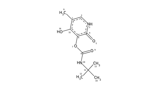 Cc1c[nH]c(=O)c(OC(=O)NC(C)(C)C)c1O